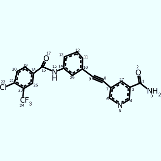 NC(=O)c1cncc(C#Cc2cccc(NC(=O)c3ccc(Cl)c(C(F)(F)F)c3)c2)c1